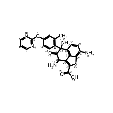 Cc1cc(Oc2ncccn2)ccc1C1(N)C(=O)C(N)c2c(C(=O)O)sc3c(N)ccc1c23